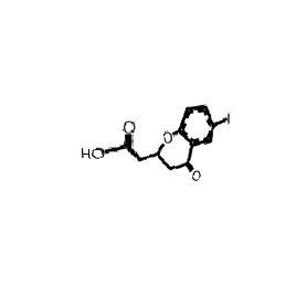 O=C(O)CC1CC(=O)c2cc(I)ccc2O1